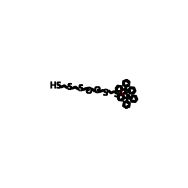 SCCCSCCCSCCOCCOCCSCCCSCCC(SC(c1ccccc1)(c1ccccc1)c1ccccc1)C(c1ccccc1)(c1ccccc1)c1ccccc1